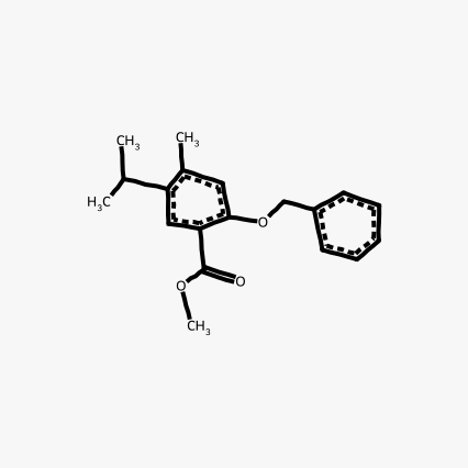 COC(=O)c1cc(C(C)C)c(C)cc1OCc1ccccc1